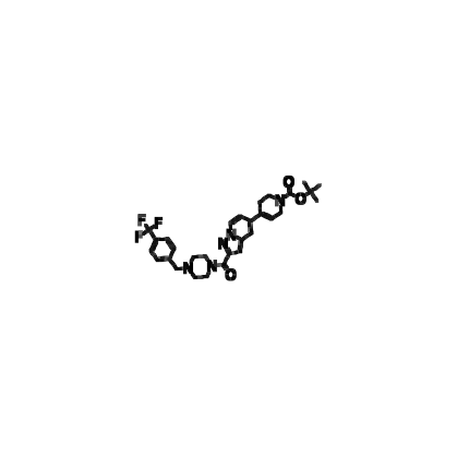 CC(C)(C)OC(=O)N1CC=C(c2ccn3nc(C(=O)N4CCN(Cc5ccc(C(F)(F)F)cc5)CC4)cc3c2)CC1